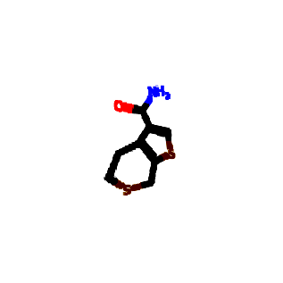 NC(=O)c1csc2c1CCSC2